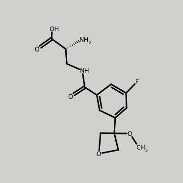 COC1(c2cc(F)cc(C(=O)NC[C@@H](N)C(=O)O)c2)COC1